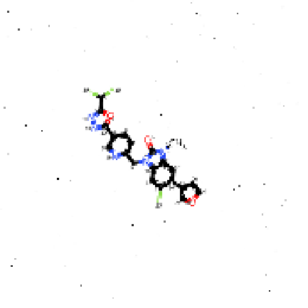 Cn1c(=O)n(Cc2ccc(-c3nnc(C(F)F)o3)cn2)c2cc(F)c(-c3ccoc3)cc21